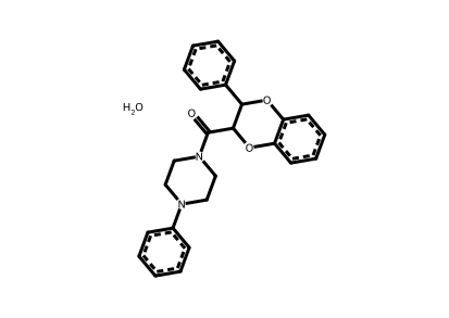 O.O=C(C1Oc2ccccc2OC1c1ccccc1)N1CCN(c2ccccc2)CC1